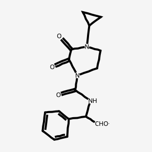 O=[C]C(NC(=O)N1CCN(C2CC2)C(=O)C1=O)c1ccccc1